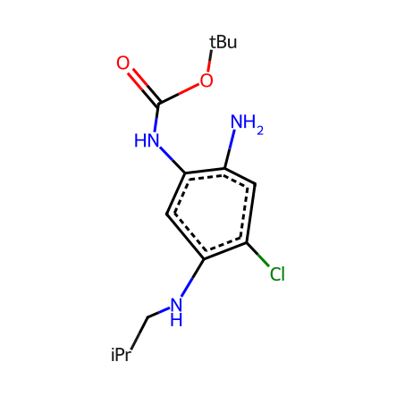 CC(C)CNc1cc(NC(=O)OC(C)(C)C)c(N)cc1Cl